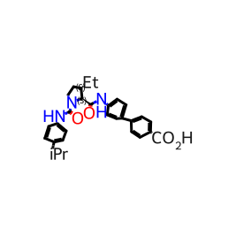 CC[C@H]1CCN(C(=O)Nc2ccc(C(C)C)cc2)[C@@H]1C(=O)Nc1ccc(-c2ccc(C(=O)O)cc2)cc1